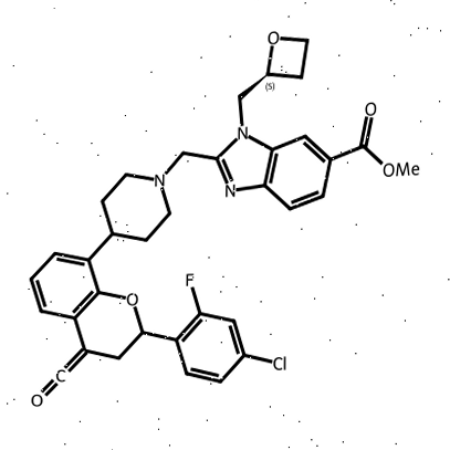 COC(=O)c1ccc2nc(CN3CCC(c4cccc5c4OC(c4ccc(Cl)cc4F)CC5=C=O)CC3)n(C[C@@H]3CCO3)c2c1